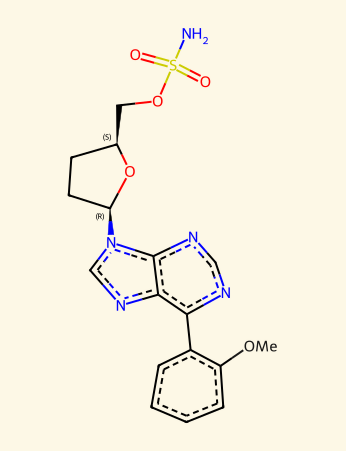 COc1ccccc1-c1ncnc2c1ncn2[C@H]1CC[C@@H](COS(N)(=O)=O)O1